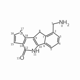 NCc1cccc2c1Cc1c-2[nH]c(=O)c2ccsc12